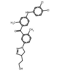 Cc1cc(Nc2ccc(Cl)c(Cl)c2)ccc1C(=O)c1cc(N2CC(CCO)N=N2)ccc1C